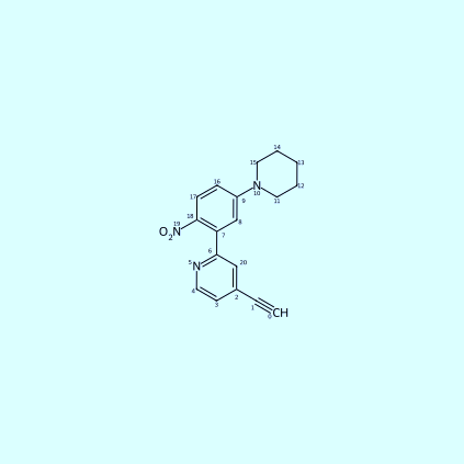 C#Cc1ccnc(-c2cc(N3CCCCC3)ccc2[N+](=O)[O-])c1